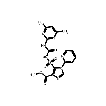 COC(=O)c1ncn(-c2ccccn2)c1S(=O)(=O)NC(=O)Nc1nc(C)cc(C)n1